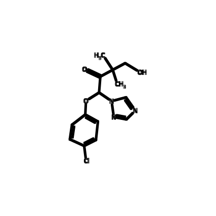 CC(C)(CO)C(=O)C(Oc1ccc(Cl)cc1)n1cncn1